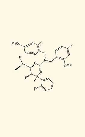 COc1ccc(CN(Cc2ccc(C)cc2OC)C2=N[C@](C)(c3ccccc3F)[C@@H](F)[C@@H]([C@@H](C)F)O2)c(C)c1